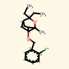 CCC1(CC)OC2(C)CCC1CC2OCc1ccccc1F